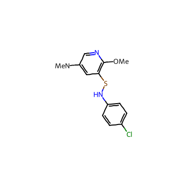 CNc1cnc(OC)c(SNc2ccc(Cl)cc2)c1